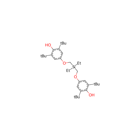 CC[Si](CC)(COc1cc(C(C)(C)C)c(O)c(C(C)(C)C)c1)COc1cc(C(C)(C)C)c(O)c(C(C)(C)C)c1